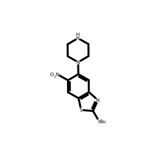 CC(C)(C)c1nc2cc(N3CCNCC3)c([N+](=O)[O-])cc2s1